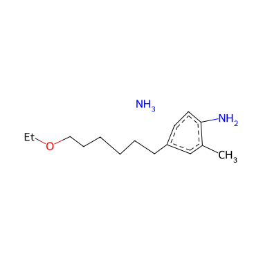 CCOCCCCCCc1ccc(N)c(C)c1.N